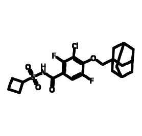 O=C(NS(=O)(=O)C1CCC1)c1cc(F)c(OCC23CC4CC(CC(C4)C2)C3)c(Cl)c1F